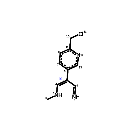 CN/C=C(\C=N)c1ccc(CCl)nc1